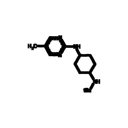 Cc1cnc(NC2CCC(NC(C)(C)C)CC2)nc1